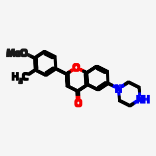 COc1ccc(-c2cc(=O)c3cc(N4CCNCC4)ccc3o2)cc1C